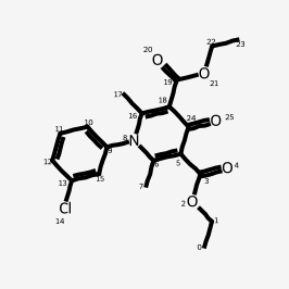 CCOC(=O)c1c(C)n(-c2cccc(Cl)c2)c(C)c(C(=O)OCC)c1=O